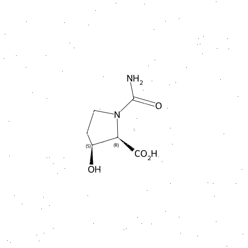 NC(=O)N1CC[C@H](O)[C@@H]1C(=O)O